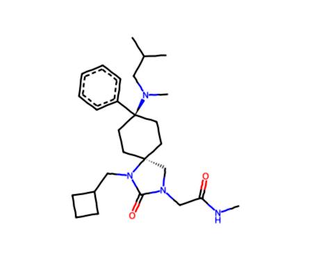 CNC(=O)CN1C[C@]2(CC[C@](c3ccccc3)(N(C)CC(C)C)CC2)N(CC2CCC2)C1=O